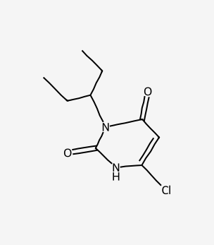 CCC(CC)n1c(=O)cc(Cl)[nH]c1=O